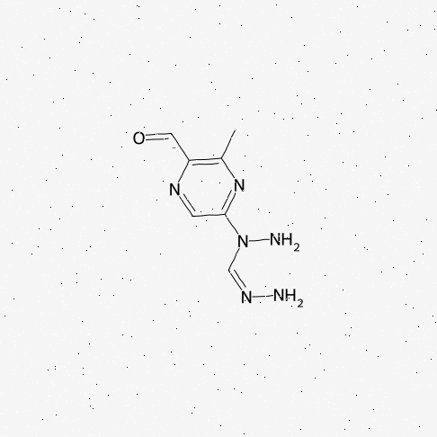 Cc1nc(N(N)/C=N\N)cnc1C=O